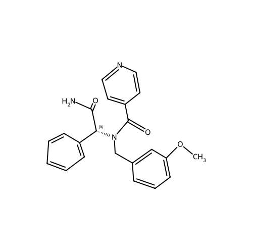 COc1cccc(CN(C(=O)c2ccncc2)[C@@H](C(N)=O)c2ccccc2)c1